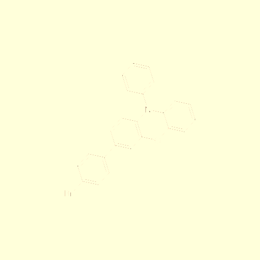 Brc1ccc(-c2ccc3c(c2)Oc2ccccc2N3c2ccccc2)cc1